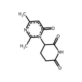 Cc1cc(=O)n(C2CCC(=O)NC2=O)c(C)n1